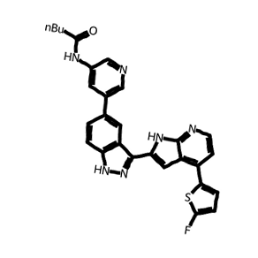 CCCCC(=O)Nc1cncc(-c2ccc3[nH]nc(-c4cc5c(-c6ccc(F)s6)ccnc5[nH]4)c3c2)c1